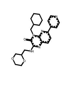 O=c1c(NCC2COCCO2)nc2ccc(-c3ccncc3)nc2n1CC1CCCCC1